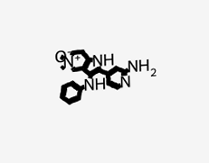 C[N+]1([O-])CCc2[nH]c(-c3ccnc(N)c3)c(Nc3ccccc3)c2C1